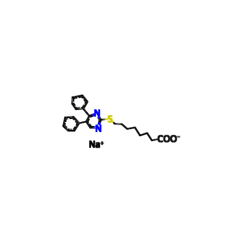 O=C([O-])CCCCCCCSc1ncc(-c2ccccc2)c(-c2ccccc2)n1.[Na+]